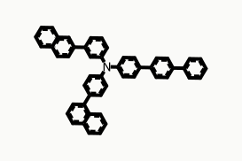 c1ccc(-c2ccc(-c3ccc(N(c4ccc(-c5cccc6ccccc56)cc4)c4cccc(-c5ccc6ccccc6c5)c4)cc3)cc2)cc1